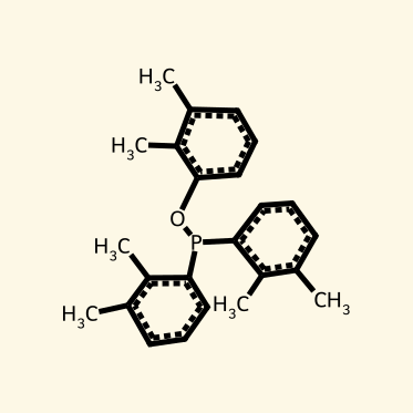 Cc1cccc(OP(c2cccc(C)c2C)c2cccc(C)c2C)c1C